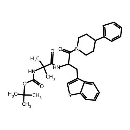 CC(C)(C)OC(=O)NC(C)(C)C(=O)NC(Cc1csc2ccccc12)C(=O)N1CCC(c2ccccc2)CC1